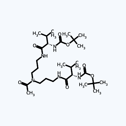 CC(=O)N(CCCNC(=O)[C@@H](NC(=O)OC(C)(C)C)C(C)C)CCCNC(=O)[C@@H](NC(=O)OC(C)(C)C)C(C)C